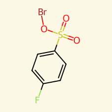 O=S(=O)(OBr)c1ccc(F)cc1